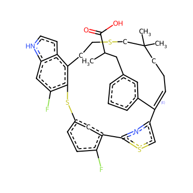 CC(Cc1cccc(/C2=C\CCC(C)(C)CSCCc3c(c(F)cc4[nH]ccc34)Sc3ccc(F)c(c3)-c3nc2cs3)c1)C(=O)O